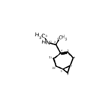 CNC(C)C1=CCC2CC2CC1